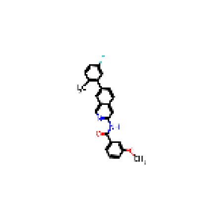 COc1cccc(C(=O)Nc2cc3ccc(-c4cc(F)ccc4C)cc3cn2)c1